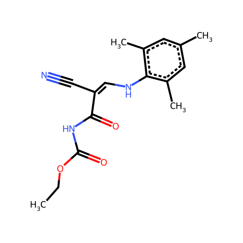 CCOC(=O)NC(=O)C(C#N)=CNc1c(C)cc(C)cc1C